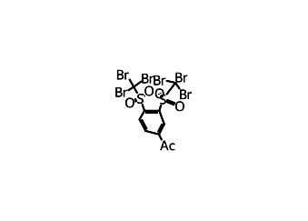 CC(=O)c1ccc(S(=O)(=O)C(Br)(Br)Br)c(S(=O)(=O)C(Br)(Br)Br)c1